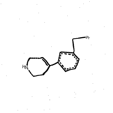 CC(C)Cc1cccc(C2=CCNCC2)c1